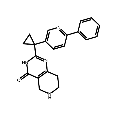 O=c1[nH]c(C2(c3ccc(-c4ccccc4)nc3)CC2)nc2c1CNCC2